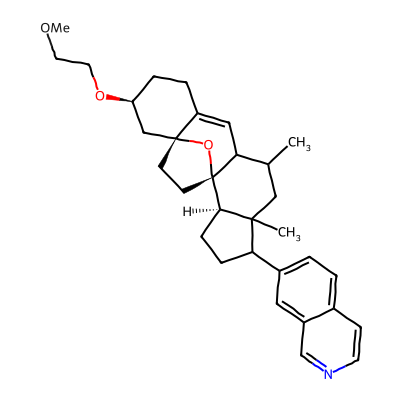 COCCO[C@H]1CCC2=CC3C(C)CC4(C)C(c5ccc6ccncc6c5)CC[C@H]4[C@@]34CC[C@]2(C1)O4